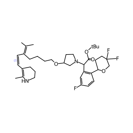 CC(C)=C(/C=C\C1=C(C)NCCC1)CCCCOC1CCN(C(C(=O)OC(C)(C)C)c2cc(F)ccc2C2CCC(F)(F)CO2)C1